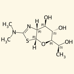 C[C@H](O)[C@H]1O[C@@H]2SC(N(C)C)=N[C@@H]2[C@@H](O)[C@@H]1O